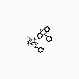 O=C(OC(C(F)(F)F)C(F)(F)S(=O)(=O)[O-])c1ccccc1.c1ccc(S2=c3ccccc3=[O+]c3ccccc32)cc1